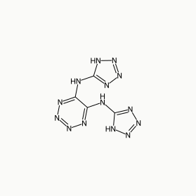 n1n[nH]c(Nc2nnnnc2Nc2nnn[nH]2)n1